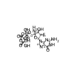 Nc1nc2c(ncn2[C@@H]2O[C@](N)(COP(=O)(O)OP(=O)(O)OP(=O)(O)O)[C@@H](O)[C@H]2F)c(=O)[nH]1